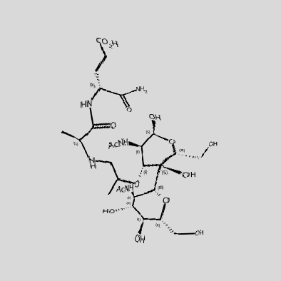 CC(=O)N[C@@H]1[C@@H](O)[C@H](O)[C@@H](CO)O[C@H]1[C@]1(O)[C@H](OC(C)CN[C@@H](C)C(=O)N[C@H](CCC(=O)O)C(N)=O)[C@@H](NC(C)=O)[C@@H](O)O[C@@H]1CO